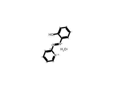 O.Oc1ccccc1N=Nc1ccccn1